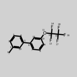 [CH2]c1cccc(-c2cccc(OC(F)(F)C(F)(F)F)c2)c1